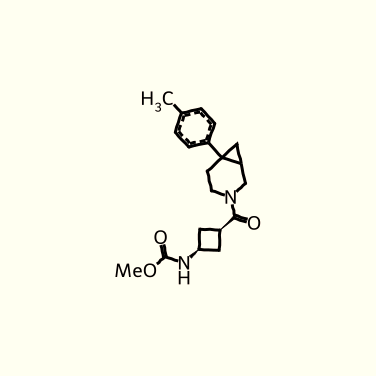 COC(=O)N[C@H]1C[C@@H](C(=O)N2CCC3(c4ccc(C)cc4)CC3C2)C1